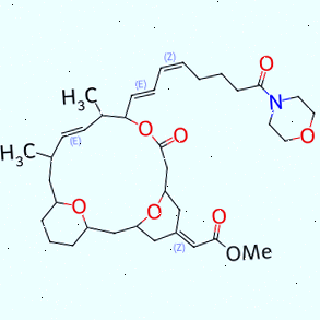 COC(=O)/C=C1\CC2CC(=O)OC(/C=C/C=C\CCCC(=O)N3CCOCC3)C(C)/C=C/C(C)CC3CCCC(CC(C1)O2)O3